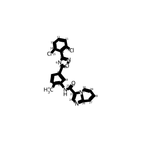 Cc1ccc(-c2nc(-c3c(Cl)cccc3Cl)no2)cc1NC(=O)c1cnc2ccccn12